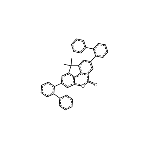 CC1(C)c2cc(-c3ccccc3-c3ccccc3)cc3oc(=O)c4cc(-c5ccccc5-c5ccccc5)cc1c4c23